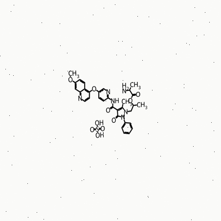 COc1ccc2c(Oc3ccc(NC(=O)c4c(C)n(CC(C)OC(=O)C(C)N)n(-c5ccccc5)c4=O)nc3)ccnc2c1.O=S(=O)(O)O